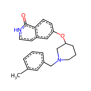 Cc1cccc(CN2CCCC(Oc3ccc4c(=O)[nH]ccc4c3)C2)c1